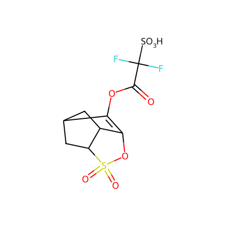 O=C(OC1=C2OS(=O)(=O)C3CC1CC23)C(F)(F)S(=O)(=O)O